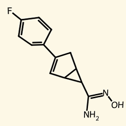 NC(=NO)C1C2C=C(c3ccc(F)cc3)CC21